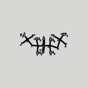 CC(C)(CC(F)(F)C(F)(F)F)S(=O)(=O)C(C)(C)CC(F)(F)C(F)(F)F